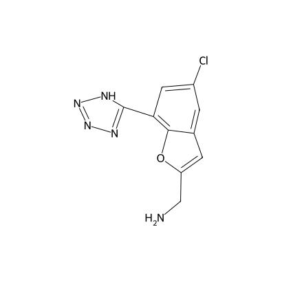 NCc1cc2cc(Cl)cc(-c3nnn[nH]3)c2o1